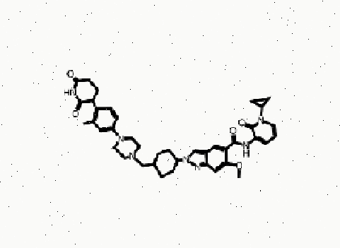 COc1cc2nn(C3CCC(CN4CCN(c5ccc(C6CCC(=O)NC6=O)c(C)c5)CC4)CC3)cc2cc1C(=O)Nc1cccn(C2CC2)c1=O